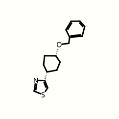 c1ccc(CO[C@H]2CC[C@@H](c3cscn3)CC2)cc1